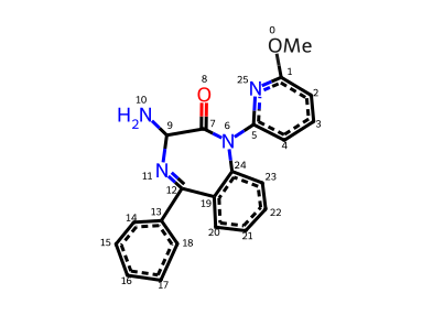 COc1cccc(N2C(=O)C(N)N=C(c3ccccc3)c3ccccc32)n1